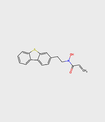 C=CC(=O)N(O)CCc1ccc2c(c1)sc1ccccc12